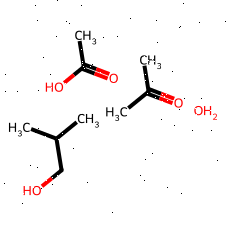 CC(=O)O.CC(C)=O.CC(C)CO.O